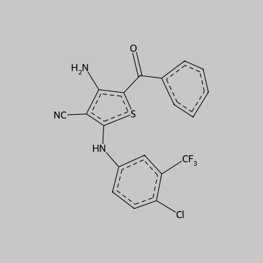 N#Cc1c(Nc2ccc(Cl)c(C(F)(F)F)c2)sc(C(=O)c2ccccc2)c1N